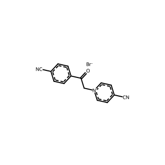 N#Cc1ccc(C(=O)C[n+]2ccc(C#N)cc2)cc1.[Br-]